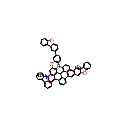 CC(C)(C)c1ccc(-c2cccc(-c3ccc(C(C)(C)C)cc3)c2C2c3cc(-c4ccc5oc6ccccc6c5c4)ccc3B3c4ccc(-c5ccc6oc7ccccc7c6c5)cc4Oc4cc(-n5c6ccccc6c6ccccc65)cc2c43)cc1